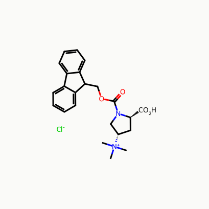 C[N+](C)(C)[C@H]1C[C@H](C(=O)O)N(C(=O)OCC2c3ccccc3-c3ccccc32)C1.[Cl-]